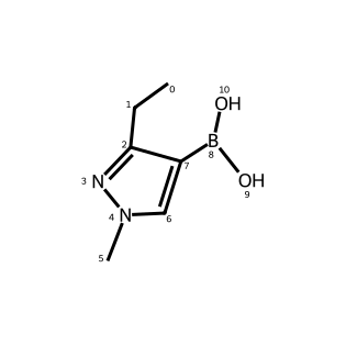 CCc1nn(C)cc1B(O)O